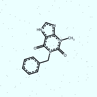 Cn1c(=O)n(Cc2ccccc2)c(=O)c2[nH]cnc21